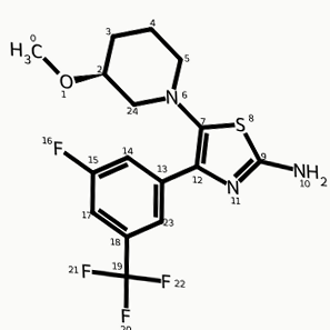 CO[C@H]1CCCN(c2sc(N)nc2-c2cc(F)cc(C(F)(F)F)c2)C1